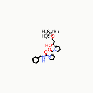 CC(C)(C)[Si](C)(C)OCCC(O)[C@@H]1CCCN1C(=O)[C@@H]1CCCN1C(=O)NCc1ccccc1